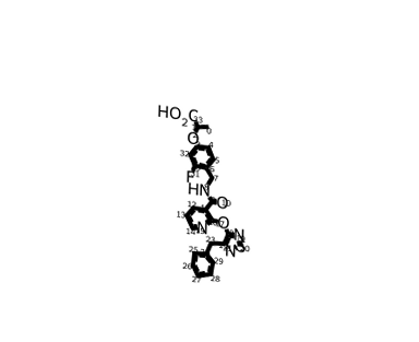 CC(Oc1ccc(CNC(=O)c2cccnc2Oc2nsnc2Cc2ccccc2)c(F)c1)C(=O)O